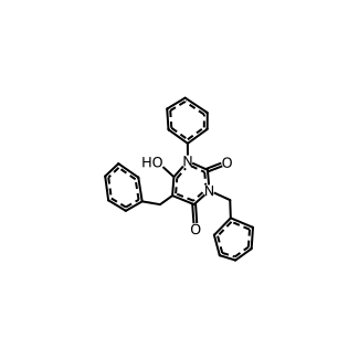 O=c1c(Cc2ccccc2)c(O)n(-c2ccccc2)c(=O)n1Cc1ccccc1